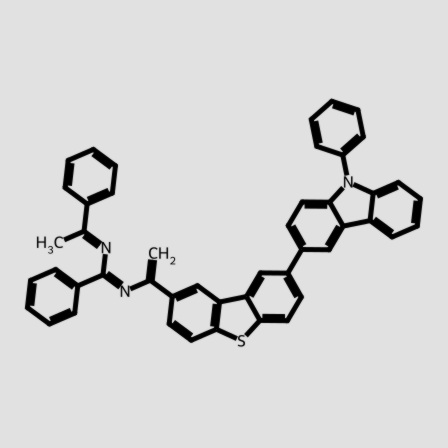 C=C(/N=C(\N=C(/C)c1ccccc1)c1ccccc1)c1ccc2sc3ccc(-c4ccc5c(c4)c4ccccc4n5-c4ccccc4)cc3c2c1